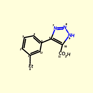 CCc1cccc(-c2nn[nH]c2C(=O)O)c1